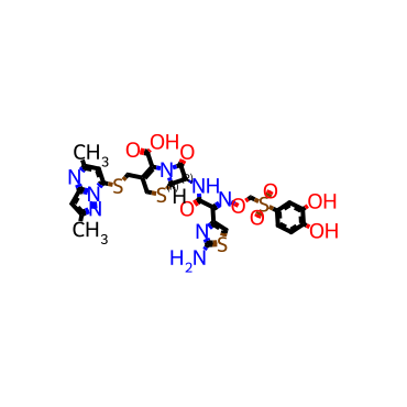 Cc1cc(SCC2=C(C(=O)O)N3C(=O)[C@@H](NC(=O)C(=NOCS(=O)(=O)c4ccc(O)c(O)c4)c4csc(N)n4)[C@H]3SC2)n2nc(C)cc2n1